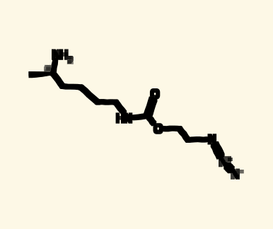 C[C@@H](N)CCCCNC(=O)OCCN=[N+]=[N-]